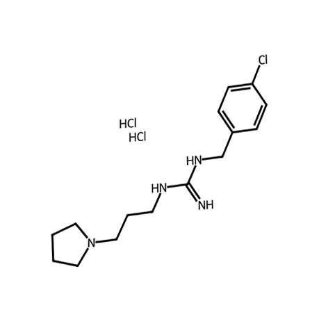 Cl.Cl.N=C(NCCCN1CCCC1)NCc1ccc(Cl)cc1